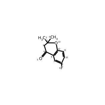 CC1(C)CC(=O)c2cc(F)ccc2O1